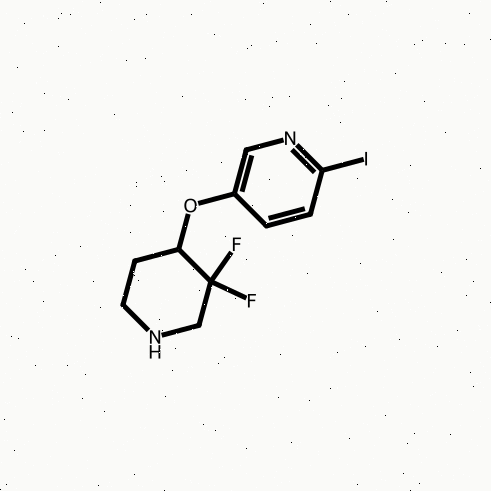 FC1(F)CNCCC1Oc1ccc(I)nc1